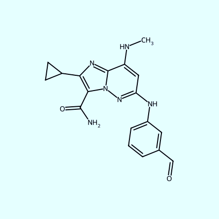 CNc1cc(Nc2cccc(C=O)c2)nn2c(C(N)=O)c(C3CC3)nc12